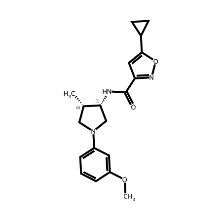 COc1cccc(N2C[C@H](C)[C@H](NC(=O)c3cc(C4CC4)on3)C2)c1